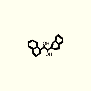 OC(c1ccc2ccccc2c1)C(O)c1cccc2ccccc12